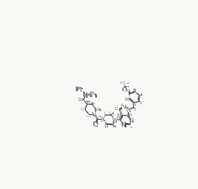 CCOc1cccc(Cn2ncc3c(N4CCN(C(=O)N5CCC(CN(C(C)C)C(C)C)CC5)CC4)ncnc32)c1